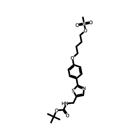 CC(C)(C)OC(=O)NCc1cnc(-c2ccc(OCCCCOS(C)(=O)=O)cc2)s1